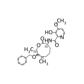 COc1ccnc(C(=O)N[C@H]2CCC[C@H](C)[C@@H](OCc3ccccc3)[C@H](C)OC2=O)c1O